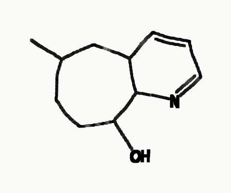 CC1CCC(O)C2N=CC=CC2C1